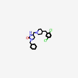 O=C1NC(CN2CCC(Cc3cc(Cl)ccc3Cl)CC2)CCN1Cc1ccccc1